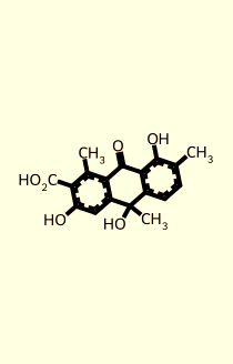 Cc1ccc2c(c1O)C(=O)c1c(cc(O)c(C(=O)O)c1C)C2(C)O